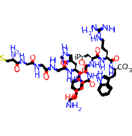 CC(C)C[C@H](NC(=O)[C@H](Cc1ccc(O)cc1)NC(=O)[C@H](CCCCN)NC(=O)[C@H](Cc1c[nH]cn1)NC(=O)CNC(=O)CNC(=O)CNC(=O)[C@@H](N)CS)C(=O)N[C@@H](CCCNC(=N)N)C(=O)N[C@@H](Cc1c[nH]c2ccccc12)C(=O)O